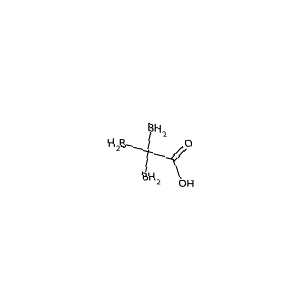 BC(B)(B)C(=O)O